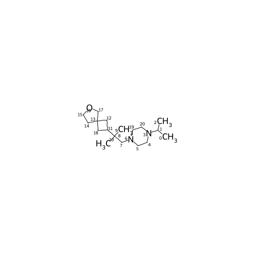 CC(C)N1CCN(CC(C)(C)C2CC3(CCOC3)C2)CC1